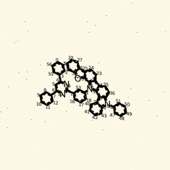 c1ccc(-c2cc(-c3ccccc3)nc(-c3cccc(-n4c5c(ccc6c7ccccc7oc65)c5ccc6c(c7ccccc7n6-c6ccccc6)c54)c3)n2)cc1